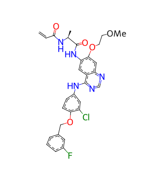 C=CC(=O)N[C@@H](C)C(=O)Nc1cc2c(Nc3ccc(OCc4cccc(F)c4)c(Cl)c3)ncnc2cc1OCCOC